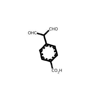 O=CC(C=O)c1ccc(C(=O)O)cc1